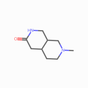 CN1CCC2CC(=O)NCC2C1